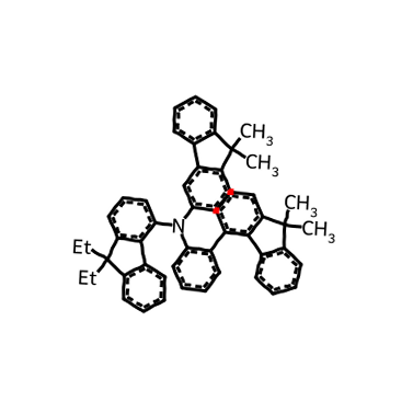 CCC1(CC)c2ccccc2-c2c(N(c3ccc4c(c3)-c3ccccc3C4(C)C)c3ccccc3-c3cccc4c3-c3ccccc3C4(C)C)cccc21